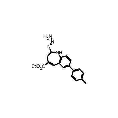 CCOC(=O)C1=Cc2cc(-c3ccc(C)cc3)ccc2NC(N=NN)C1